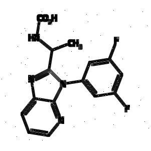 CC(NC(=O)O)c1nc2cccnc2n1-c1cc(F)cc(F)c1